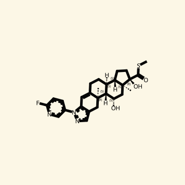 CSC(=O)[C@@]1(O)CC[C@H]2[C@@H]3CCC4=Cc5c(cnn5-c5ccc(F)nc5)C[C@]4(C)[C@H]3[C@@H](O)C[C@@]21C